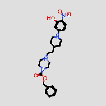 O=C(OCc1ccccc1)N1CCN(CCC2CCN(c3ccc([N+](=O)[O-])c(O)c3)CC2)CC1